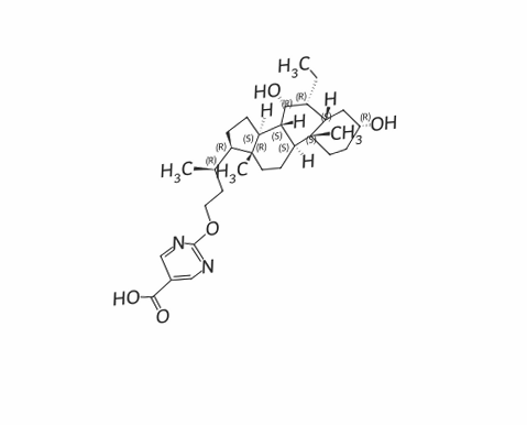 CC[C@H]1[C@@H](O)[C@@H]2[C@H](CC[C@]3(C)[C@@H]([C@H](C)CCOc4ncc(C(=O)O)cn4)CC[C@@H]23)[C@@]2(C)CC[C@@H](O)C[C@@H]12